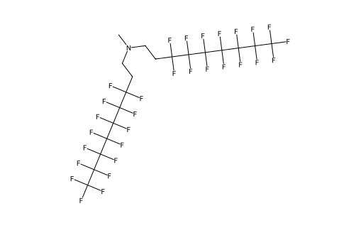 CN(CCC(F)(F)C(F)(F)C(F)(F)C(F)(F)C(F)(F)C(F)(F)C(F)(F)F)CCC(F)(F)C(F)(F)C(F)(F)C(F)(F)C(F)(F)C(F)(F)C(F)(F)F